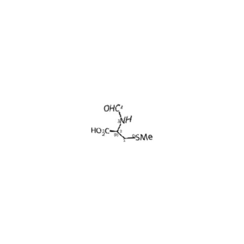 CSC[C@H](NC=O)C(=O)O